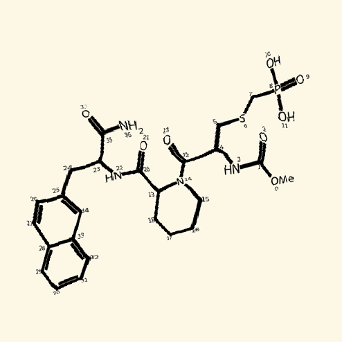 COC(=O)NC(CSCP(=O)(O)O)C(=O)N1CCCCC1C(=O)NC(Cc1ccc2ccccc2c1)C(N)=O